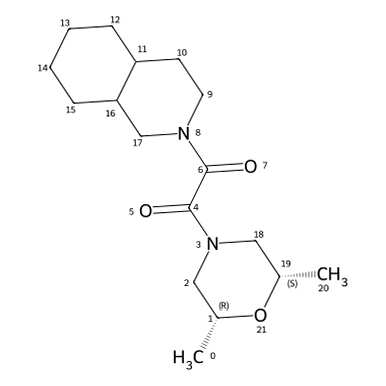 C[C@@H]1CN(C(=O)C(=O)N2CCC3CCCCC3C2)C[C@H](C)O1